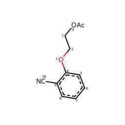 CC(=O)OCCOc1ccccc1C#N